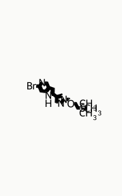 CS(C)(C)CCOCn1cc(-c2cc3cnc(Br)cc3[nH]2)cn1